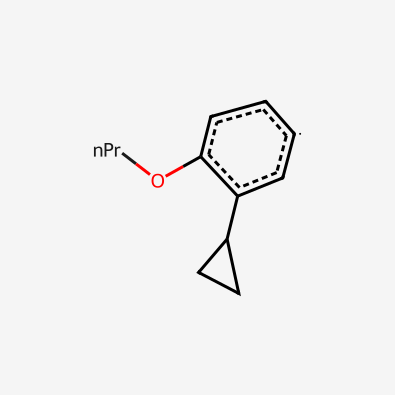 CCCOc1cc[c]cc1C1CC1